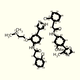 CN(C)CCOc1cc(-c2cn[nH]c2)ccc1NC(=O)Cc1ccccc1Cl.COc1cc(NC(=O)Cc2ccccc2Cl)ccc1-c1ocnc1C